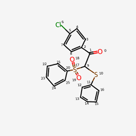 O=C(c1ccc(Cl)cc1)C(Sc1ccccc1)S(=O)(=O)c1ccccc1